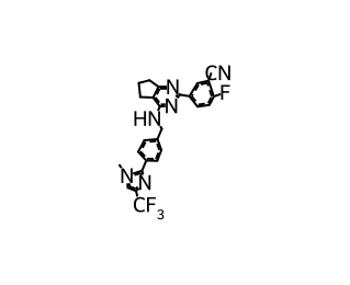 Cn1cc(C(F)(F)F)nc1-c1ccc(CNc2nc(-c3ccc(F)c(C#N)c3)nc3c2CCC3)cc1